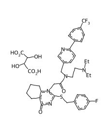 CCN(CC)CCN(Cc1ccc(-c2ccc(C(F)(F)F)cc2)nc1)C(=O)Cn1c(SCc2ccc(F)cc2)nc(=O)c2c1CCCC2.O=C(O)C(O)C(O)C(=O)O